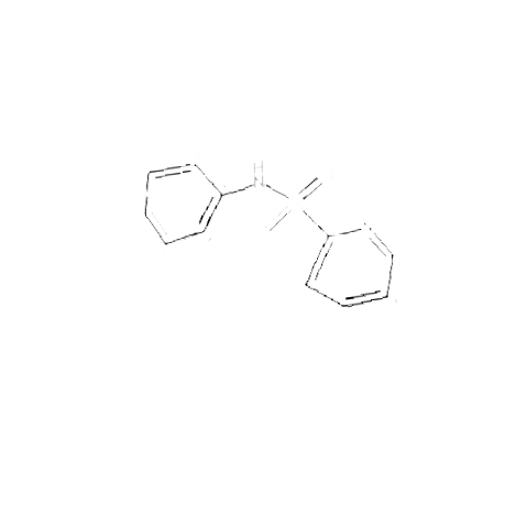 O=S(=O)(Nc1[c]cccc1)c1ccccn1